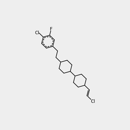 Fc1cc(CCC2CCC(C3CCC(/C=C/Cl)CC3)CC2)ccc1Cl